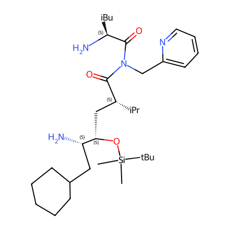 CCC(C)[C@H](N)C(=O)N(Cc1ccccn1)C(=O)[C@@H](C[C@H](O[Si](C)(C)C(C)(C)C)[C@@H](N)CC1CCCCC1)C(C)C